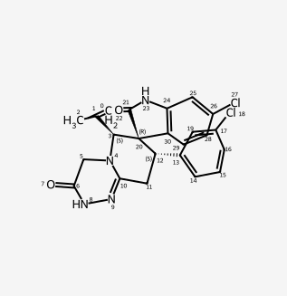 C=C(C)[C@@H]1N2CC(=O)NN=C2C[C@@H](c2cccc(Cl)c2)[C@]12C(=O)Nc1cc(Cl)ccc12